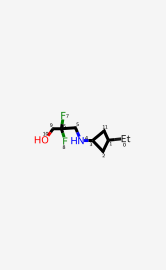 CCC1CC(NCC(F)(F)CO)C1